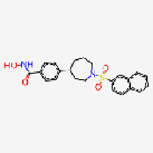 O=C(NO)c1ccc(C2CCCN(S(=O)(=O)c3ccc4ccccc4c3)CC2)cc1